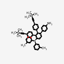 Cc1cccc(N(c2cccc(C)c2)c2ccc(-c3ccc(N)cc3)c(-c3ccc(C#C[Si](C)(C)C)cc3)c2-c2ccc(C#C[Si](C)(C)C)cc2)c1